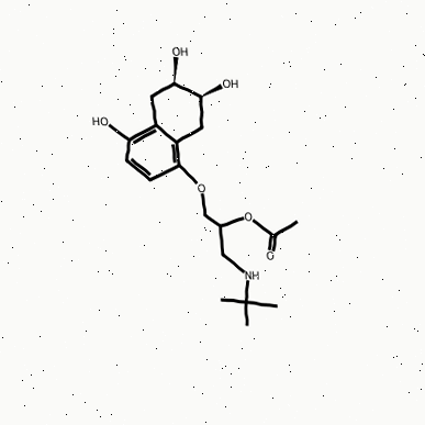 CC(=O)OC(CNC(C)(C)C)COc1ccc(O)c2c1C[C@H](O)[C@H](O)C2